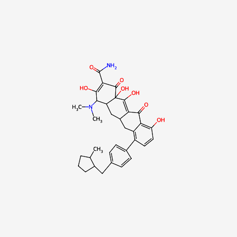 CC1CCCC1Cc1ccc(-c2ccc(O)c3c2CC2CC4C(N(C)C)C(O)=C(C(N)=O)C(=O)C4(O)C(O)=C2C3=O)cc1